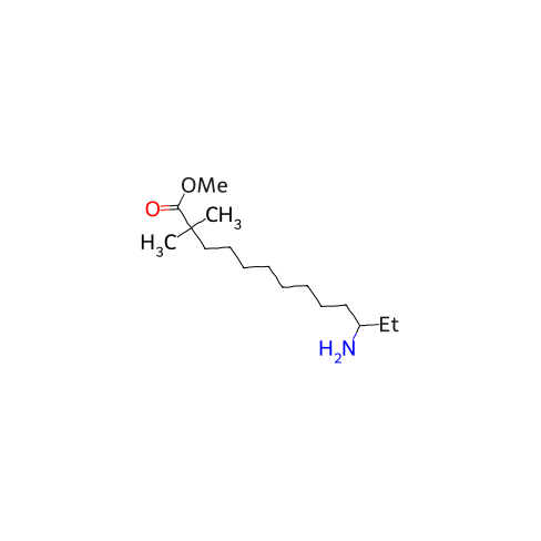 CCC(N)CCCCCCCCC(C)(C)C(=O)OC